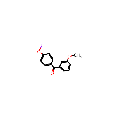 COc1cccc(C(=O)c2ccc(OI)cc2)c1